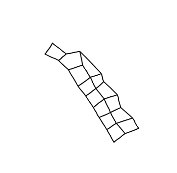 C1CC2C1C1C3C2C2C4C5C6C7CC8CC9C%10C%11C%12C1C32C%124C%115C%106C897